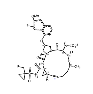 CC[C@@H]1O[C@H](C)CC/C=C\[C@@H]2C[C@@]2(C(=O)NS(=O)(=O)C2(CF)CC2)NC(=O)[C@@H]2C[C@@H](Oc3nccc4cc(OC)c(F)cc34)CN2C(=O)[C@H]1NC(=O)O